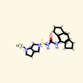 CN1CCC2CN(SNC(=O)Nc3c4c(cc5c3CCC5)CCC4)CC21